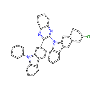 Clc1ccc2cc3c(cc2c1)c1ccccc1n3-c1nc2ccccc2nc1-c1ccc2c3ccccc3n(-c3ccccc3)c2c1